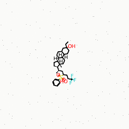 CC[C@]1(O)CC[C@H]2C(CC[C@@H]3[C@@H]2CC[C@]2(C)[C@@H]([C@H](C)CC(C[C@H](O)C(F)(F)F)S(=O)(=O)c4ccccc4)CC[C@@H]32)C1